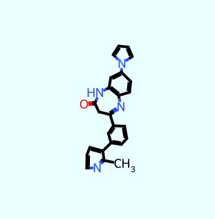 Cc1ncccc1-c1cccc(C2=Nc3ccc(-n4cccc4)cc3NC(=O)C2)c1